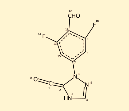 O=C=C1NC=NN1c1cc(F)c(C=O)c(F)c1